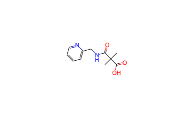 CC(C)(C(=O)O)C(=O)NCc1ccccn1